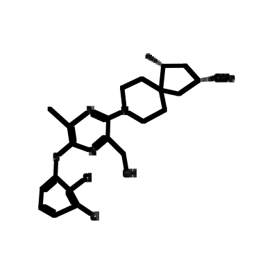 CO[C@H]1C[C@@H](C)C2(CCN(c3nc(C)c(Sc4cccc(Cl)c4Cl)nc3CO)CC2)C1